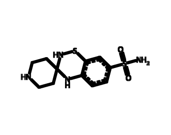 NS(=O)(=O)c1ccc2c(c1)SNC1(CCNCC1)N2